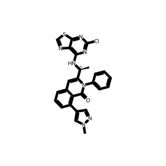 C[C@H](Nc1nc(Cl)nc2scnc12)c1cc2cccc(-c3cnn(C)c3)c2c(=O)n1-c1ccccc1